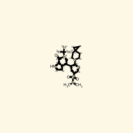 [2H]C([2H])([2H])n1cc(-c2cc(S(=O)(=O)N(C)C)cnc2N2CCC3(CC2)CC3)c2cc[nH]c2c1=O